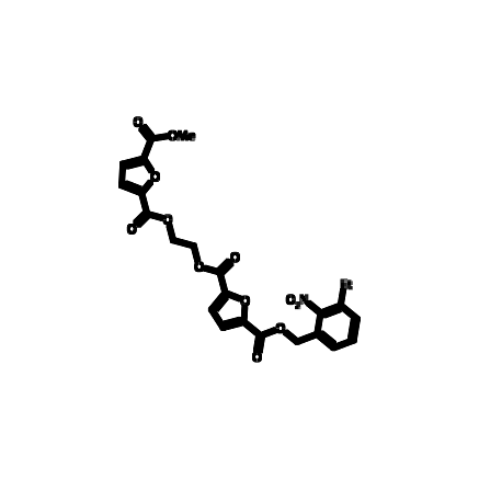 CCc1cccc(COC(=O)c2ccc(C(=O)OCCOC(=O)c3ccc(C(=O)OC)o3)o2)c1[N+](=O)[O-]